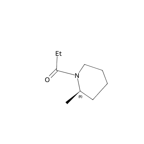 CCC(=O)N1CCCC[C@H]1C